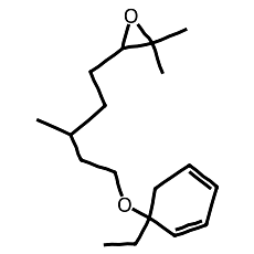 CCC1(OCCC(C)CCC2OC2(C)C)C=CC=CC1